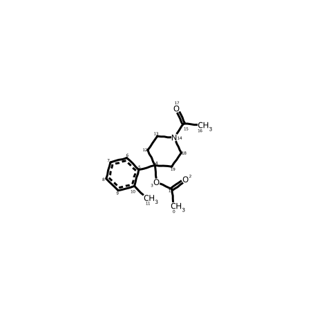 CC(=O)OC1(c2ccccc2C)CCN(C(C)=O)CC1